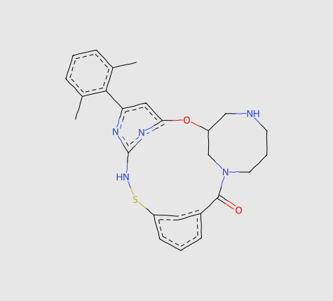 Cc1cccc(C)c1-c1cc2nc(n1)NSc1cccc(c1)C(=O)N1CCCNCC(C1)O2